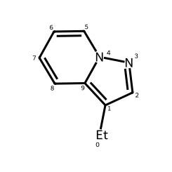 CCc1cnn2ccccc12